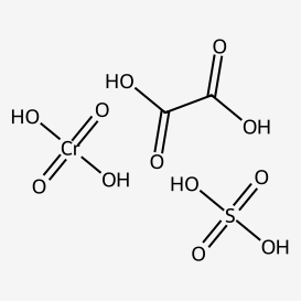 O=C(O)C(=O)O.O=S(=O)(O)O.[O]=[Cr](=[O])([OH])[OH]